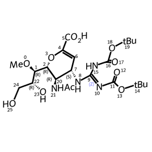 CO[C@@H]([C@@H]1OC(C(=O)O)=C[C@H](N/C(=N/C(=O)OC(C)(C)C)NC(=O)OC(C)(C)C)[C@H]1NC(C)=O)[C@H](O)CO